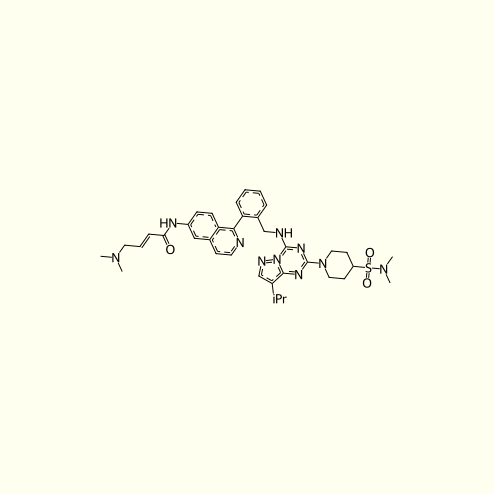 CC(C)c1cnn2c(NCc3ccccc3-c3nccc4cc(NC(=O)/C=C/CN(C)C)ccc34)nc(N3CCC(S(=O)(=O)N(C)C)CC3)nc12